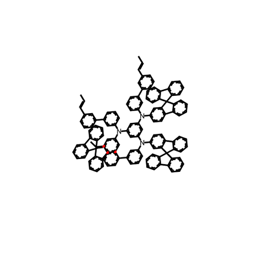 C/C=C/c1cccc(-c2cccc(N(c3cc(N(c4cccc(-c5cccc(/C=C/C)c5)c4)c4ccc5c(c4)C4(c6ccccc6-c6ccccc64)c4ccccc4-5)cc(N(c4cccc(-c5cccc(/C=C/C)c5)c4)c4ccc5c(c4)C4(c6ccccc6-c6ccccc64)c4ccccc4-5)c3)c3ccc4c(c3)C3(c5ccccc5-c5ccccc53)c3ccccc3-4)c2)c1